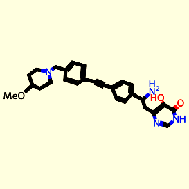 COC1CCN(Cc2ccc(C#Cc3ccc(C(N)Cc4nc[nH]c(=O)c4O)cc3)cc2)CC1